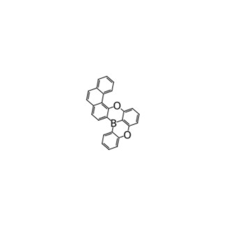 c1ccc2c(c1)Oc1cccc3c1B2c1ccc2ccc4ccccc4c2c1O3